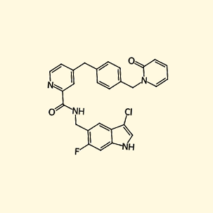 O=C(NCc1cc2c(Cl)c[nH]c2cc1F)c1cc(Cc2ccc(Cn3ccccc3=O)cc2)ccn1